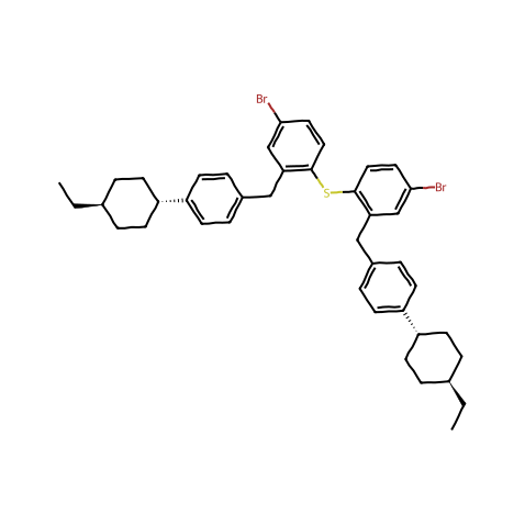 CC[C@H]1CC[C@H](c2ccc(Cc3cc(Br)ccc3Sc3ccc(Br)cc3Cc3ccc([C@H]4CC[C@H](CC)CC4)cc3)cc2)CC1